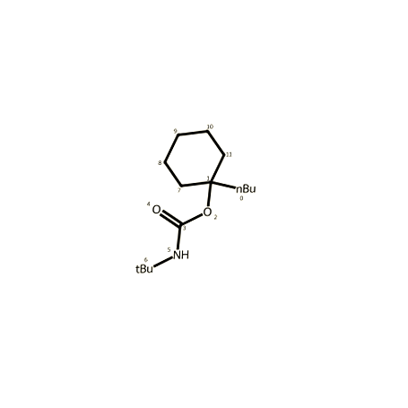 CCCCC1(OC(=O)NC(C)(C)C)CCCCC1